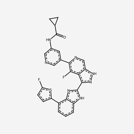 O=C(Nc1cncc(-c2ncc3[nH]nc(-c4nc5c(-c6ccc(F)s6)cccc5[nH]4)c3c2F)c1)C1CC1